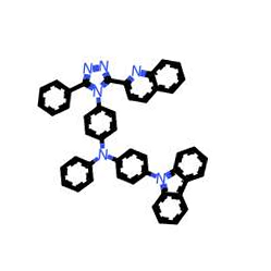 c1ccc(-c2nnc(-c3ccc4ccccc4n3)n2-c2ccc(N(c3ccccc3)c3ccc(-n4c5ccccc5c5ccccc54)cc3)cc2)cc1